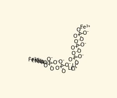 O=P([O-])([O-])[O-].O=P([O-])([O-])[O-].O=P([O-])([O-])[O-].O=P([O-])([O-])[O-].O=P([O-])([O-])[O-].[Fe+3].[Fe+3].[Fe+3].[Li+].[Li+].[Li+].[Na+].[Na+].[Na+]